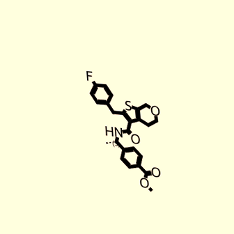 COC(=O)c1ccc([C@H](C)NC(=O)c2c(Cc3ccc(F)cc3)sc3c2CCOC3)cc1